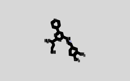 Cc1ccc(/C=N/Nc2cc(-c3ccncc3)nc(N(C)CCO)n2)cc1C